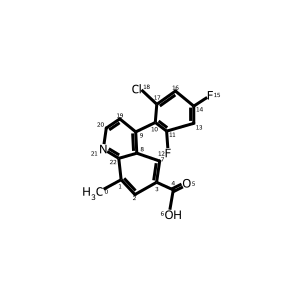 Cc1cc(C(=O)O)cc2c(-c3c(F)cc(F)cc3Cl)ccnc12